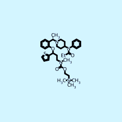 CCC(=O)N(c1ccccc1)C1CCN([C@@H](C)c2ccccc2OC(CCN(C)C(=O)OCC[Si](C)(C)C)c2cccs2)CC1